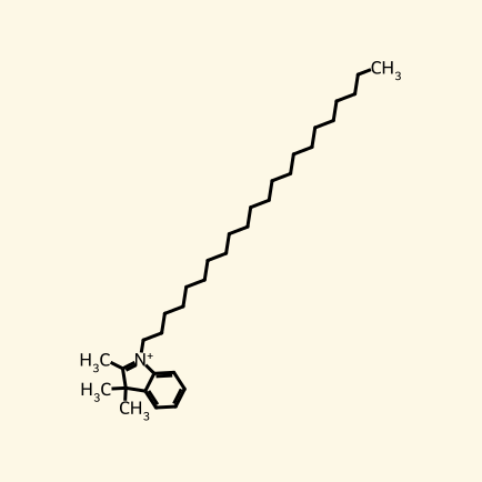 CCCCCCCCCCCCCCCCCCCCCC[N+]1=C(C)C(C)(C)c2ccccc21